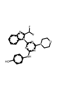 Oc1ccc(Nc2nc(N3CCOCC3)nc(-n3c(C(F)F)nc4ccccc43)n2)cc1